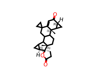 C[C@@]12C(=CC(=O)[C@@H]3CC31)C1(CC1)CC1C2CC[C@@]2(C)C1C1C[C@@H]1[C@@]21CCC(=O)O1